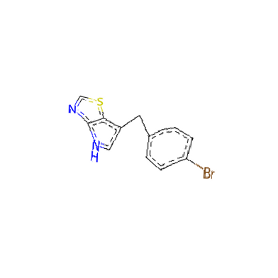 Brc1ccc(Cc2c[nH]c3ncsc23)cc1